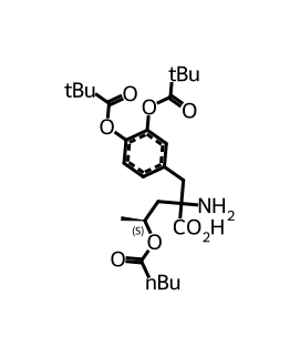 CCCCC(=O)O[C@@H](C)CC(N)(Cc1ccc(OC(=O)C(C)(C)C)c(OC(=O)C(C)(C)C)c1)C(=O)O